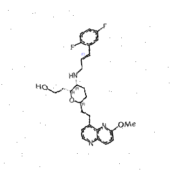 COc1ccc2nccc(CC[C@@H]3CC[C@@H](NC/C=C/c4cc(F)ccc4F)[C@@H](CCO)O3)c2n1